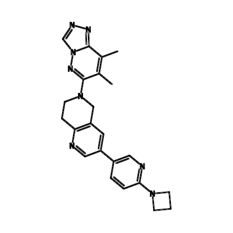 Cc1c(N2CCc3ncc(-c4ccc(N5CCC5)nc4)cc3C2)nn2cnnc2c1C